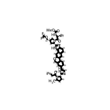 COC(=O)N[C@H](C(=O)N1C[C@@H](COC(F)F)C[C@H]1c1nc2ccc3cc4c(cc3c2[nH]1)OCc1cc(-c2cnc([C@@H]3CC[C@H](C)N3C(=O)[CH]C(C)C)[nH]2)ccc1-4)C(C)C